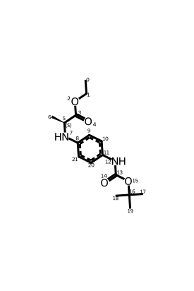 CCOC(=O)[C@H](C)Nc1ccc(NC(=O)OC(C)(C)C)cc1